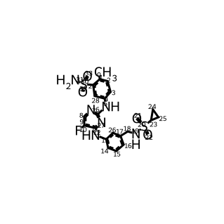 Cc1ccc(Nc2ncc(F)c(Nc3cccc(CNS(=O)(=O)C4CC4)c3)n2)cc1S(N)(=O)=O